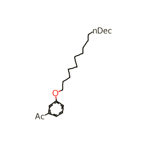 CCCCCCCCCCCCCCCCCCCCOc1cccc(C(C)=O)c1